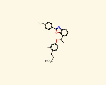 Cc1cc(OC(C)c2cccc3nc(-c4ccc(C(F)(F)F)cc4)oc23)ccc1CCC(=O)O